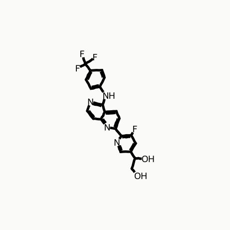 OCC(O)c1cnc(-c2ccc3c(Nc4ccc(C(F)(F)F)cc4)nccc3n2)c(F)c1